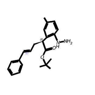 Cc1ccc(NN)c([C@H](C/C=C/c2ccccc2)C(=O)OC(C)(C)C)c1